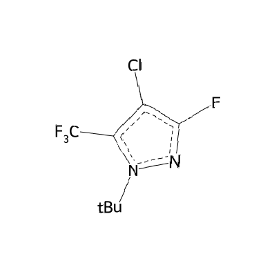 CC(C)(C)n1nc(F)c(Cl)c1C(F)(F)F